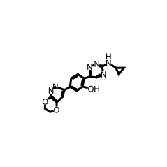 Oc1cc(-c2cc3c(nn2)OCCO3)ccc1-c1cnc(NC2CC2)nn1